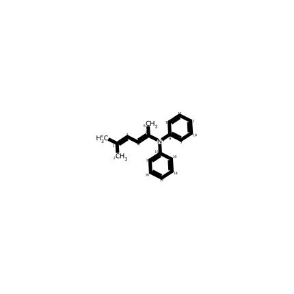 CC(C)=C/C=C(\C)N(c1ccccc1)c1ccccc1